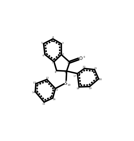 O=C1c2ccccc2CC1(Sc1ccccc1)c1ccccc1